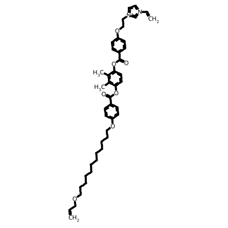 C=CCOCCCCCCCCCCCCOc1ccc(C(=O)Oc2ccc(OC(=O)c3ccc(OCC[n+]4ccn(C=C)c4)cc3)c(C)c2C)cc1